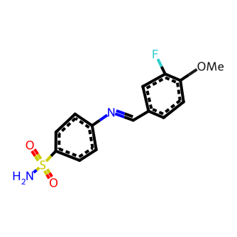 COc1ccc(C=Nc2ccc(S(N)(=O)=O)cc2)cc1F